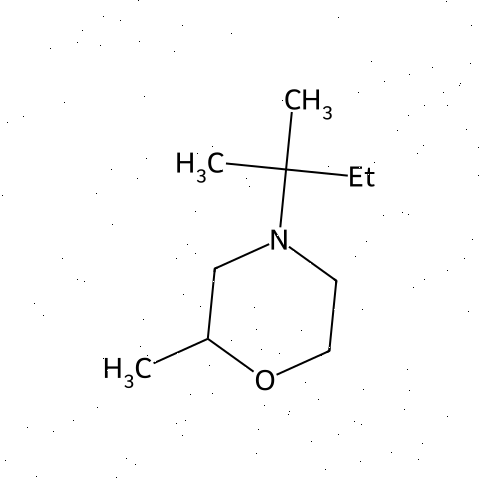 CCC(C)(C)N1CCOC(C)C1